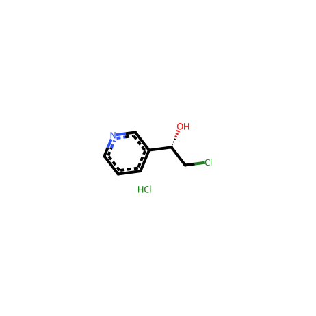 Cl.O[C@H](CCl)c1cccnc1